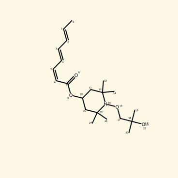 C/C=C/C=C/C=C\C(=O)OC1CC(C)(C)N(OCC(C)(C)O)C(C)(C)C1